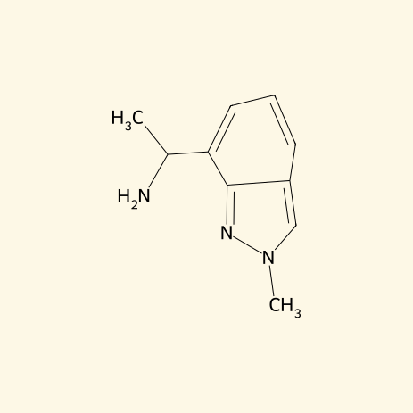 CC(N)c1cccc2cn(C)nc12